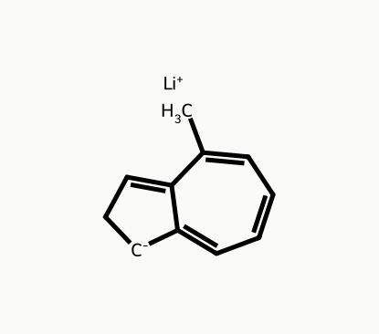 CC1=CC=CC=C2[CH-]CC=C12.[Li+]